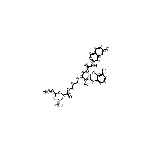 CC(=O)N(NCc1cccc(F)c1Cl)[C@@H](CCCCOC(=O)[C@H](COC(C)(C)C)NC(=O)OC(C)(C)C)COC(=O)Nc1cc2cc(F)ccc2cn1